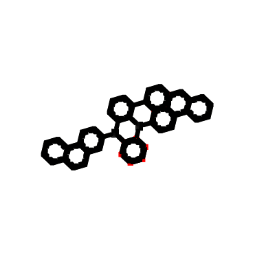 c1ccc(-c2cccc(N(c3ccccc3)c3ccc4c(ccc5ccccc54)c3)c2N(c2ccccc2)c2ccc3c(ccc4ccccc43)c2)cc1